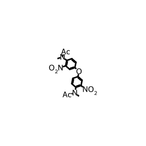 CC(=O)N(C)c1ccc(Oc2ccc(N(C)C(C)=O)c([N+](=O)[O-])c2)cc1[N+](=O)[O-]